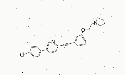 Clc1ccc(-c2ccc(C#Cc3cccc(OCCN4CCCC4)c3)nc2)cc1